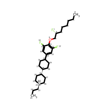 CCCCCC[C@@H](F)COc1c(F)cc(C2CCC([C@H]3CC[Si@H](CCC)CC3)CC2)cc1F